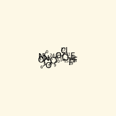 Cc1noc(C(C)Oc2ccc(Oc3ccc(C(F)(F)F)cc3Cl)cc2)n1